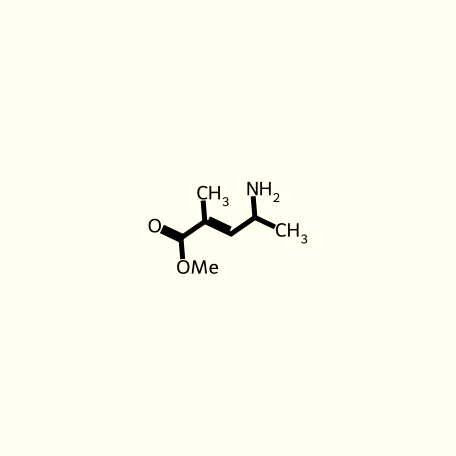 COC(=O)C(C)=CC(C)N